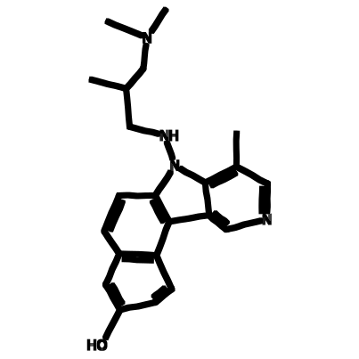 Cc1cncc2c3c4ccc(O)cc4ccc3n(NCC(C)CN(C)C)c12